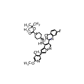 COc1cc(C)c(-c2cc3c(NCC4CCN(C(=O)OC(C)(C)C)CC4)c(/C(N)=N/c4cc(F)ccc4Cl)cnn3c2)cn1